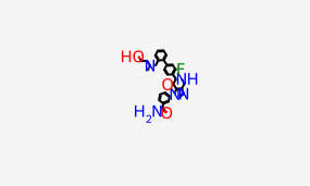 CN(CCO)Cc1ccccc1-c1ccc(C2NCc3ncn(-c4cccc(C(N)=O)c4)c3C2=O)c(F)c1